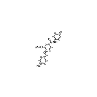 COc1cc(C(=O)Nc2ccc(C)cc2)ccc1OCc1ccc(C#N)cc1